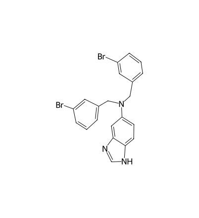 Brc1cccc(CN(Cc2cccc(Br)c2)c2ccc3[nH]cnc3c2)c1